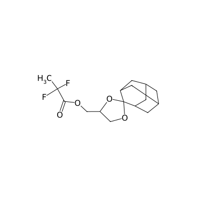 CC(F)(F)C(=O)OCC1COC2(O1)C1CC3CC(C1)CC2C3